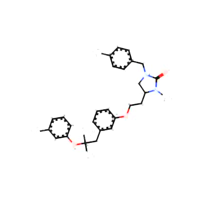 CN1C(=O)N(Cc2ccc(C(F)(F)F)cc2)CC1CCOc1cccc(CC(C)(Oc2cccc(C(F)(F)F)c2)C(=O)O)c1